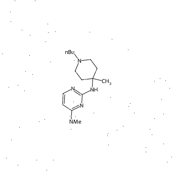 CCCCN1CCC(C)(Nc2nccc(NC)n2)CC1